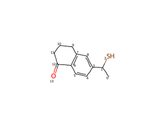 CC(S)c1ccc2c(c1)CCCC2=O